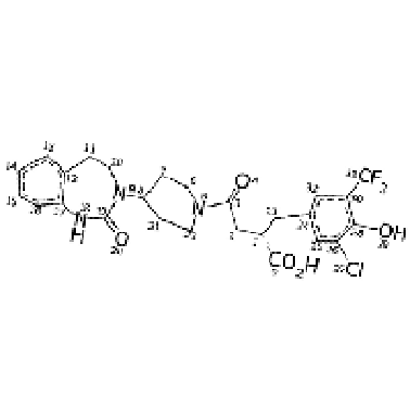 O=C(O)[C@H](CC(=O)N1CCC(N2CCc3ccccc3NC2=O)CC1)Cc1cc(Cl)c(O)c(C(F)(F)F)c1